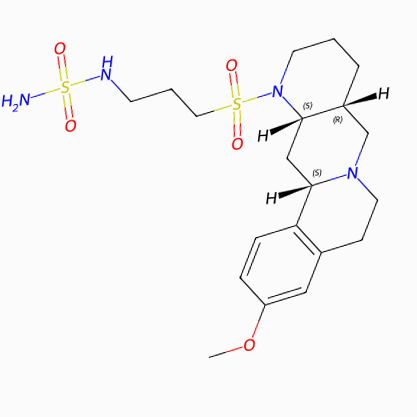 COc1ccc2c(c1)CCN1C[C@H]3CCCN(S(=O)(=O)CCCNS(N)(=O)=O)[C@H]3C[C@@H]21